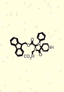 O=C(O)CN1C(=O)C2(CCNCC2)N(c2ccccc2)C1C(=O)OCC1c2ccccc2-c2ccccc21